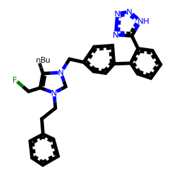 CCCCC1=C(CF)N(CCc2ccccc2)CN1Cc1ccc(-c2ccccc2-c2nnn[nH]2)cc1